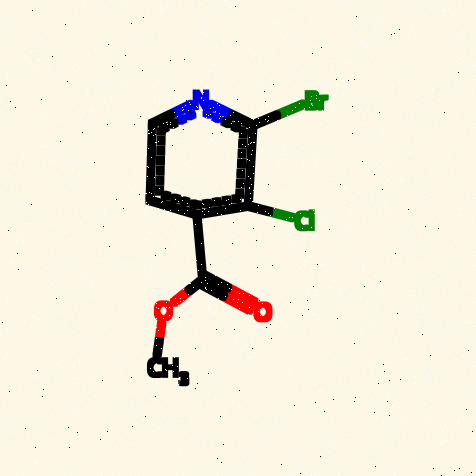 COC(=O)c1ccnc(Br)c1Cl